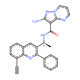 C#Cc1cccc2cc([C@H](C)NC(=O)c3c(N)nn4cccnc34)c(-c3ccccc3)nc12